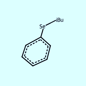 CCC(C)[Se]c1ccccc1